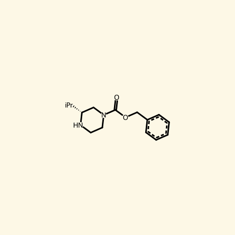 CC(C)[C@@H]1CN(C(=O)OCc2ccccc2)CCN1